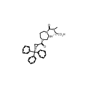 CC(C)[C@@H](C(=O)O)N(C)C(=O)N1CCCN(C(=O)C2CN2C(c2ccccc2)(c2ccccc2)c2ccccc2)CC1